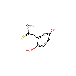 COC(=S)c1cc(Br)ccc1O